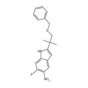 CC(C)(COCc1ccccc1)c1cc2cc([N+](=O)[O-])c(F)cc2[nH]1